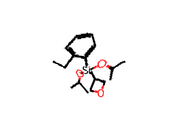 CCc1ccccc1[Si](OC(C)C)(OC(C)C)C1COC1